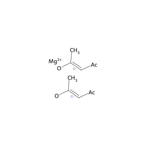 CC(=O)/C=C(\C)[O-].CC(=O)/C=C(\C)[O-].[Mg+2]